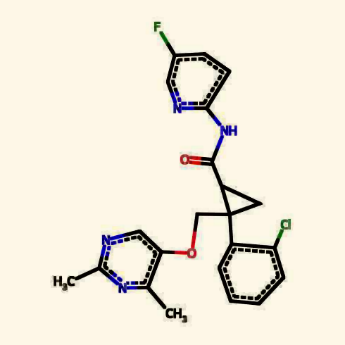 Cc1ncc(OCC2(c3ccccc3Cl)CC2C(=O)Nc2ccc(F)cn2)c(C)n1